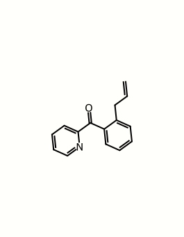 C=CCc1ccccc1C(=O)c1ccccn1